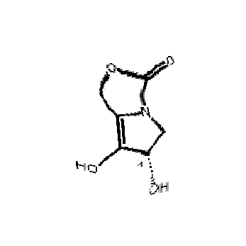 O=C1OCC2=C(O)[C@@H](O)CN12